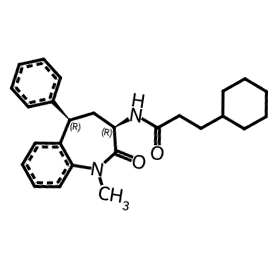 CN1C(=O)[C@H](NC(=O)CCC2CCCCC2)C[C@H](c2ccccc2)c2ccccc21